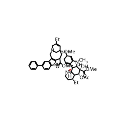 CCC1=C[C@H]2CN(C1)Cc1c([nH]c3ccc(-c4ccccc4)cc13)[C@@](C(=O)OC)(C1C=C3C(=CC1OC)N(C)[C@H]1[C@@](O)(C(=O)OC)[C@H](OC(C)=O)C4[C@@H](CC)CCN5CC[C@]31[C@H]45)C2